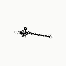 Cc1cc(C)c(C2=C(OCc3ccccc3)C3(CCC(OCCOCCOCCOCCOCCOCCOCC(=O)O)CC3)OC2=O)c(C)c1